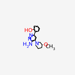 CO[C@@H]1CCCN(c2cc(-c3ccccc3O)nnc2N)C1